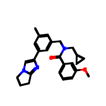 COc1cccc(C(=O)N(Cc2cc(C)cc(-c3cn4c(n3)CCC4)c2)CC2CC2)c1